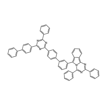 c1ccc(-c2ccc(-c3nc(-c4ccccc4)nc(-c4ccc(-c5cccc(-c6c7ccccc7c7nc(-c8ccccc8)nc(-c8ccccc8)n67)c5)cc4)n3)cc2)cc1